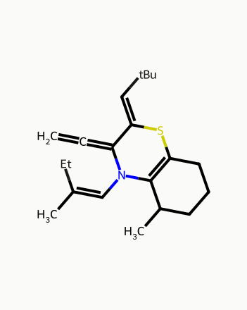 C=C=C1C(=CC(C)(C)C)SC2=C(C(C)CCC2)N1/C=C(/C)CC